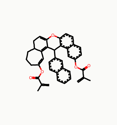 C=C(C)C(=O)OC1=CC2=C3C(=CCC2CCC1)Oc1ccc2ccc(OC(=O)C(=C)C)cc2c1C3c1ccc2ccccc2c1